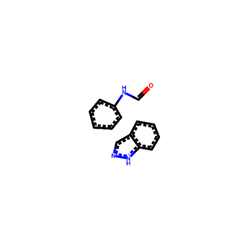 O=CNc1ccccc1.c1ccc2[nH]ncc2c1